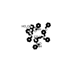 O=C(O)N1CCC(n2c(=O)[nH]c3ccccc32)CC1CCCN(Cc1ccccc1)Cc1cccc(OCc2ccccc2)c1.O=C(O)N1CC[C@H](n2c(=O)[nH]c3ccccc32)C(CCCN(Cc2ccccc2)Cc2ccccn2)C1